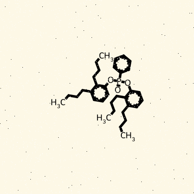 CCCCc1cccc(OP(=O)(Oc2cccc(CCCC)c2CCCC)c2ccccc2)c1CCCC